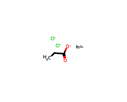 CCC(=O)[O-].[Cl-].[Cl-].[In+3]